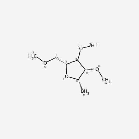 [2H]OC1[C@@H](COC)O[C@@H](B)[C@H]1OC